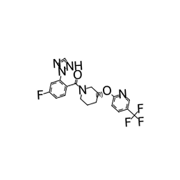 O=C(c1ccc(F)cc1-n1nc[nH]1)N1CCC[C@@H](Oc2ccc(C(F)(F)F)cn2)C1